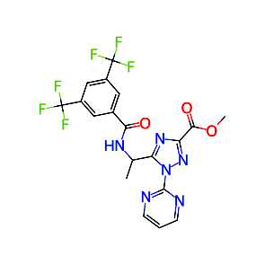 COC(=O)c1nc(C(C)NC(=O)c2cc(C(F)(F)F)cc(C(F)(F)F)c2)n(-c2ncccn2)n1